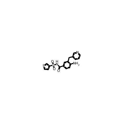 Nc1ccc(C(=O)NS(=O)(=O)c2ccsc2)cc1Cc1cccnc1